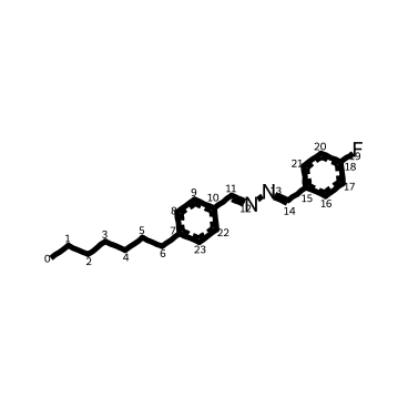 CCCCCCCc1ccc(C=NN=Cc2ccc(F)cc2)cc1